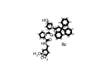 C[N+]1(C)CCC(CNC(=O)[C@H]2CCCN2C(=O)[C@@H]2C[C@@H](O)CN2C(=O)CC(c2ccccc2)(c2ccccc2)c2ccccc2)C1.[Br-]